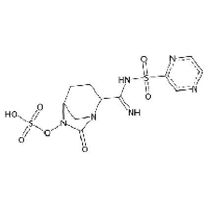 N=C(NS(=O)(=O)c1cnccn1)C1CCC2CN1C(=O)N2OS(=O)(=O)O